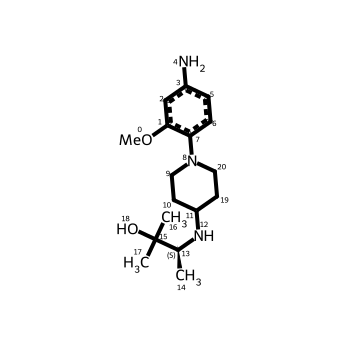 COc1cc(N)ccc1N1CCC(N[C@@H](C)C(C)(C)O)CC1